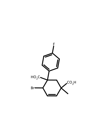 CC1(C(=O)O)C=CC(Br)C(C(=O)O)(c2ccc(F)cc2)C1